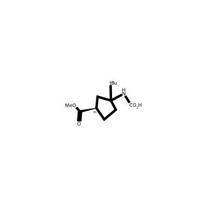 COC(=O)[C@@H]1CCC(NC(=O)O)(C(C)(C)C)C1